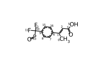 CC(=CC(=O)O)c1ccc(C(F)(F)P=O)cc1